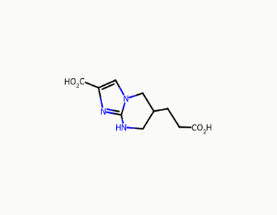 O=C(O)CCC1CNc2nc(C(=O)O)cn2C1